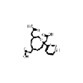 O=C(O)CC1CCC(CC(=O)O)CCC(CC(=O)O)(C2=CC=CNN=N2)CC1